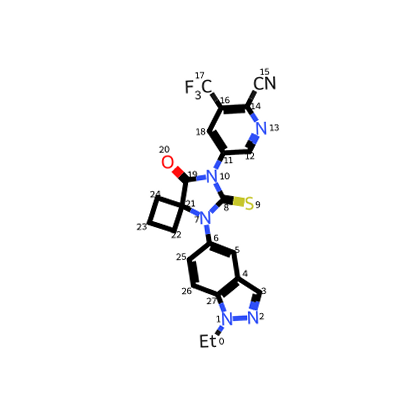 CCn1ncc2cc(N3C(=S)N(c4cnc(C#N)c(C(F)(F)F)c4)C(=O)C34CCC4)ccc21